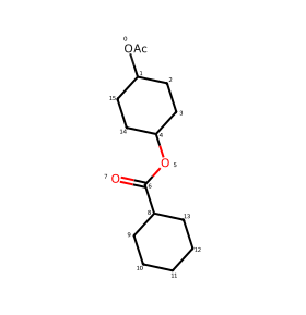 CC(=O)OC1CCC(OC(=O)C2CCCCC2)CC1